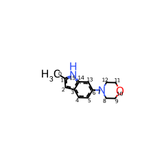 Cc1cc2ccc(N3CCOCC3)cc2[nH]1